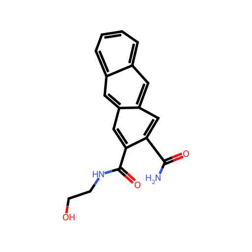 NC(=O)c1cc2cc3ccccc3cc2cc1C(=O)NCCO